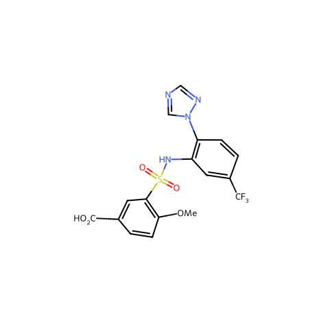 COc1ccc(C(=O)O)cc1S(=O)(=O)Nc1cc(C(F)(F)F)ccc1-n1cncn1